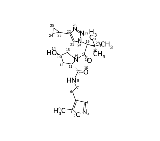 Cc1oncc1CCNC(=O)[C@@H]1C[C@@H](O)CN1C(=O)[C@@H](n1cc(C2CC2)nn1)C(C)(C)C